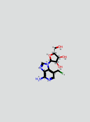 Nc1ncc(CF)c2c1ncn2C1O[C@H](CO)[C@@H](O)[C@H]1O